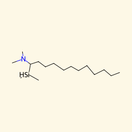 CCCCCCCCCCCC(N(C)C)[SiH](C)C